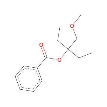 CCC(CC)(COC)OC(=O)c1ccccc1